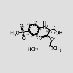 CCOC(=O)[C@H](CO)Nc1ccc(S(C)(=O)=O)cc1.Cl